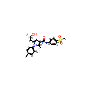 Cc1ccc(-n2c(C[C@H](C)O)cc(C(=O)Nc3ccc(S(C)(=O)=O)cc3)c2C)c(Cl)c1